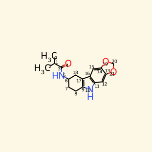 CC(C)C(=O)NC1CCc2[nH]c3cc4c(cc3c2C1)OCO4